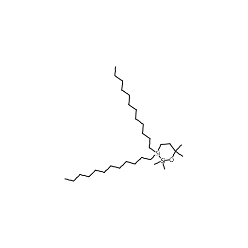 CCCCCCCCCCCC[Si]1(CCCCCCCCCCCC)CCC(C)(C)O[Si]1(C)C